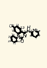 O=c1nc(Nc2ccccn2)c2ccc(Cl)cc2n1-c1ccccc1